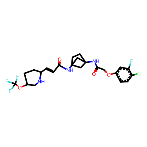 O=C(/C=C/C1CCC(OC(F)(F)F)CN1)NC12CCC(NC(=O)COc3ccc(Cl)c(F)c3)(C1)C2